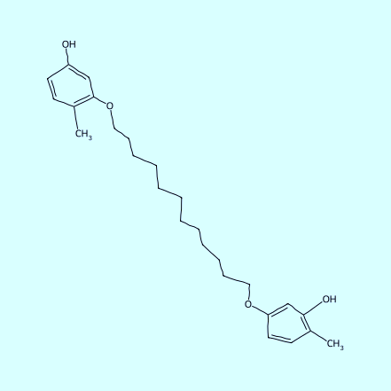 Cc1ccc(OCCCCCCCCCCCCOc2cc(O)ccc2C)cc1O